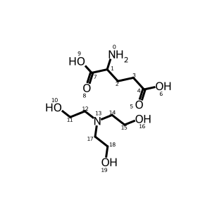 NC(CCC(=O)O)C(=O)O.OCCN(CCO)CCO